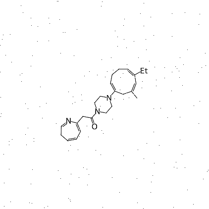 CCC1=CCC/C=C(/N2CCN(C(=O)CC3=CC=CCC=N3)CC2)C/C(C)=C\1